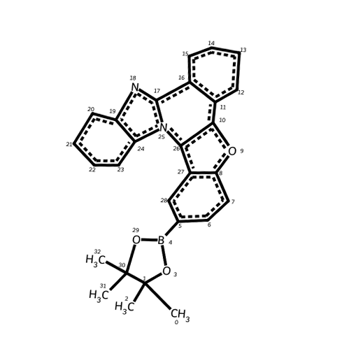 CC1(C)OB(c2ccc3oc4c5ccccc5c5nc6ccccc6n5c4c3c2)OC1(C)C